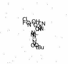 Cc1c(-c2cc(OCC(O)c3cc(Cl)c(F)cn3)c3c(C#N)cnn3c2)nnn1C1CCN(C(=O)OC(C)(C)C)CC1